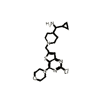 NC(C1CC1)C1CCN(Cc2cc3nc(Cl)nc(N4CCOCC4)c3s2)CC1